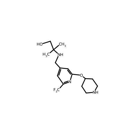 CC(C)(CO)NCc1cc(OC2CCNCC2)nc(C(F)(F)F)c1